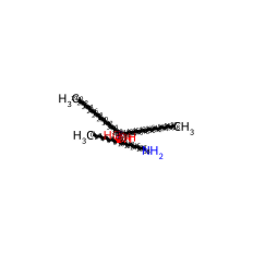 CCCCCCCCCCCCCCCCCCN.CCCCCCCCCCCCCCCCCCP(O)(O)(O)CCCCCCCCCCCCCCCCCC